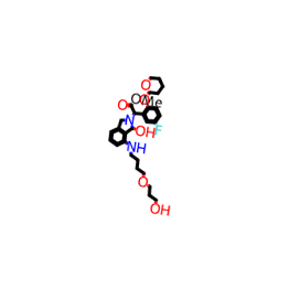 COC(=O)C(c1cc(F)ccc1OC1CCCCO1)N1Cc2cccc(NCCCCOCCCO)c2C1O